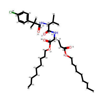 CCCCCCCCCOC(=O)CC[C@@H](NC(=O)[C@@H](NC(=O)C(C)(C)c1ccc(Cl)cc1)C(C)C)C(=O)OCCCCCCCCC